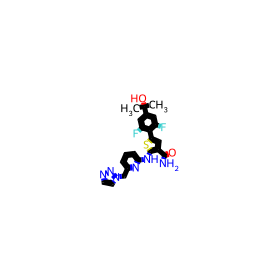 CC(C)(O)c1cc(F)c(-c2cc(C(N)=O)c(Nc3cccc(Cn4ccnn4)n3)s2)c(F)c1